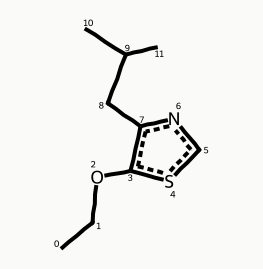 CCOc1scnc1CC(C)C